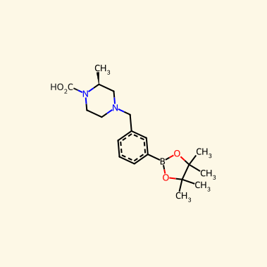 C[C@H]1CN(Cc2cccc(B3OC(C)(C)C(C)(C)O3)c2)CCN1C(=O)O